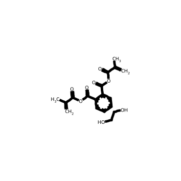 C=C(C)C(=O)OC(=O)c1ccccc1C(=O)OC(=O)C(=C)C.OCCO